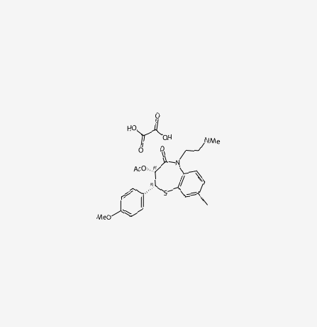 CNCCN1C(=O)[C@@H](OC(C)=O)[C@@H](c2ccc(OC)cc2)Sc2cc(C)ccc21.O=C(O)C(=O)O